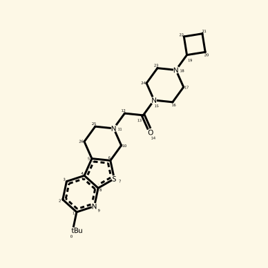 CC(C)(C)c1ccc2c3c(sc2n1)CN(CC(=O)N1CCN(C2CCC2)CC1)CC3